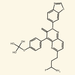 C=C1C(c2ccc(OC(O)(O)O)cc2)=c2nc(CCC(F)P)ccc2=NN1c1ccc2ncsc2c1